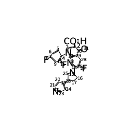 O=C(O)c1cn(-c2ccc(F)cc2F)c2nc(N3CCC(c4ccncc4)C3)c(F)cc2c1=O